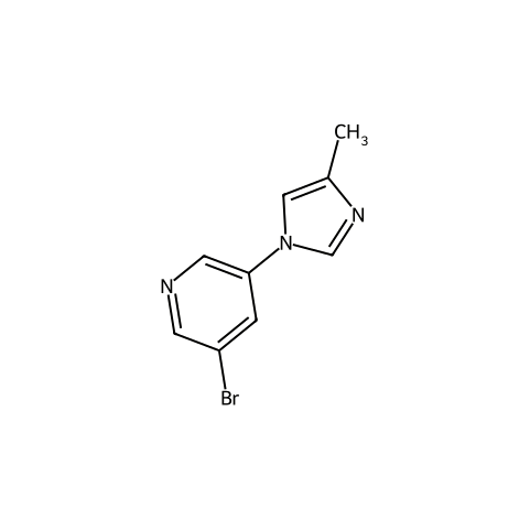 Cc1cn(-c2cncc(Br)c2)cn1